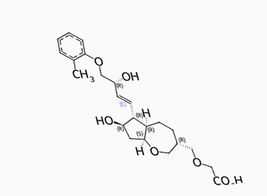 Cc1ccccc1OC[C@H](O)/C=C/[C@@H]1[C@H]2CC[C@H](COCC(=O)O)CO[C@H]2C[C@H]1O